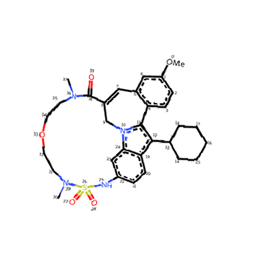 COc1ccc2c(c1)C=C1Cn3c-2c(C2CCCCC2)c2ccc(cc23)NS(=O)(=O)N(C)CCOCCN(C)C1=O